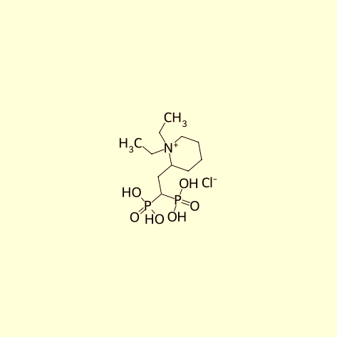 CC[N+]1(CC)CCCCC1CC(P(=O)(O)O)P(=O)(O)O.[Cl-]